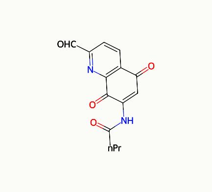 CCCC(=O)NC1=CC(=O)c2ccc(C=O)nc2C1=O